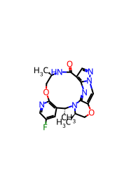 C[C@@H]1COc2ncc(F)cc2[C@@H](C)N2c3nc4c(cnn4cc3OC[C@H]2C)C(=O)N1